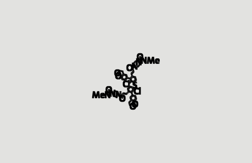 CNC(=O)N1CCN(C(=O)/C=C/c2ccc(Sc3ccc(/C=C/C(=O)N4CCN(C(=O)NC)CC4)c(-c4ccc5c(c4)CCOO5)c3Cl)c(Cl)c2-c2ccc3c(c2)CCOO3)CC1